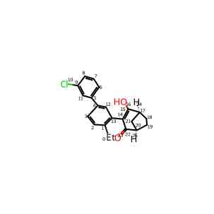 CCc1ccc(-c2cccc(Cl)c2)cc1C1=C(O)[C@H]2CC[C@H](C2)C1=O